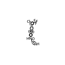 O=C(CN1CCNCC1)Nc1ccc(S(=O)(=O)N2CCN(c3cc(C(F)(F)F)cc(Cl)n3)CC2)cc1